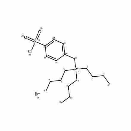 CCCC[P+](CCCC)(CCCC)Cc1ccc(S(=O)(=O)Cl)cc1.[Br-]